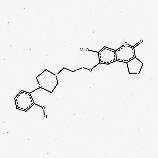 CCOc1ccccc1N1CCN(CCCOc2cc3c4c(c(=O)oc3cc2OC)CCC4)CC1